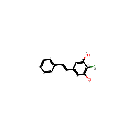 Oc1cc(/C=C/c2ccccc2)cc(O)c1Cl